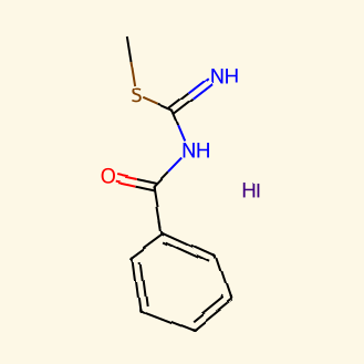 CSC(=N)NC(=O)c1ccccc1.I